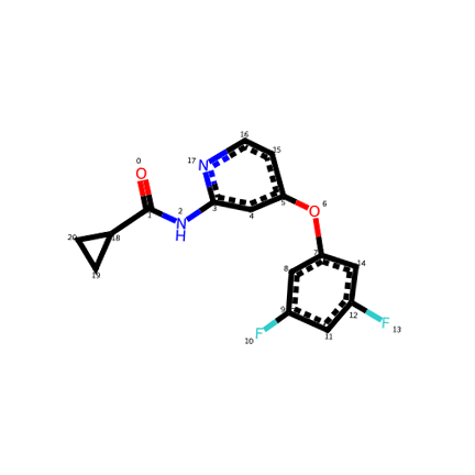 O=C(Nc1cc(Oc2cc(F)cc(F)c2)ccn1)C1CC1